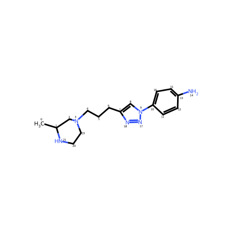 CC1CN(CCCc2cn(-c3ccc(N)cc3)nn2)CCN1